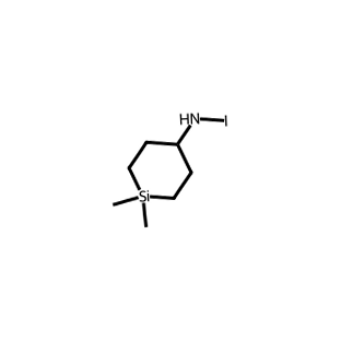 C[Si]1(C)CCC(NI)CC1